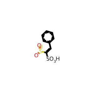 O=[SH](=O)C(=Cc1ccccc1)S(=O)(=O)O